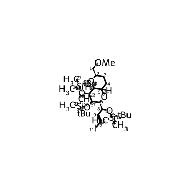 COC[C@H]1CC[C@@H]2O[C@@H](C(/C=C/I)O[Si](C)(C)C(C)(C)C)C(O[Si](C)(C)C(C)(C)C)[C@@H](O[Si](C)(C)C(C)(C)C)[C@H]2O1